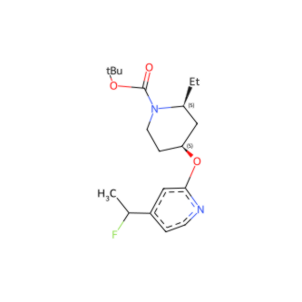 CC[C@H]1C[C@@H](Oc2cc(C(C)F)ccn2)CCN1C(=O)OC(C)(C)C